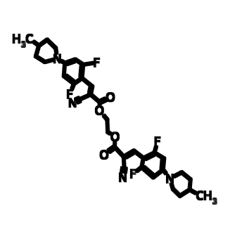 CC1CCN(c2cc(F)c(/C=C(\C#N)C(=O)OCCOC(=O)/C(C#N)=C/c3c(F)cc(N4CCC(C)CC4)cc3F)c(F)c2)CC1